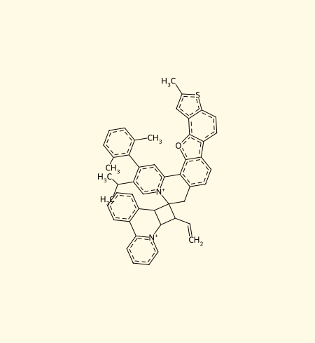 C=CC1C2C(c3ccccc3-c3cccc[n+]32)C12Cc1ccc3c(oc4c5cc(C)sc5ccc34)c1-c1cc(-c3c(C)cccc3C)c(C(C)C)c[n+]12